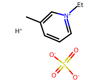 CC[n+]1cccc(C)c1.O=S(=O)([O-])[O-].[H+]